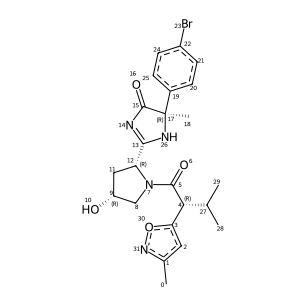 Cc1cc([C@H](C(=O)N2C[C@H](O)C[C@@H]2C2=NC(=O)[C@@](C)(c3ccc(Br)cc3)N2)C(C)C)on1